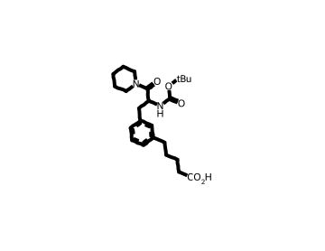 CC(C)(C)OC(=O)NC(Cc1cccc(CCCCC(=O)O)c1)C(=O)N1CCCCC1